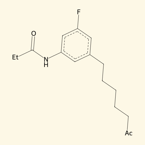 CCC(=O)Nc1cc(F)cc(CCCCCC(C)=O)c1